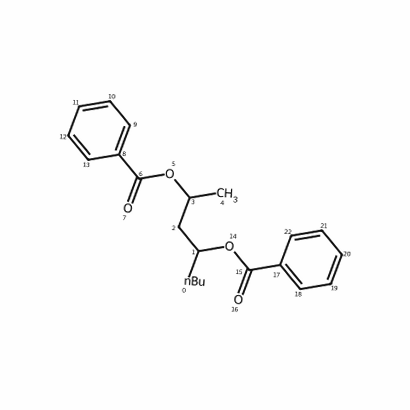 CCCCC(CC(C)OC(=O)c1ccccc1)OC(=O)c1ccccc1